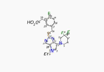 CCn1cc(N2CCCC(F)(F)C2)c2nc(SCc3ccc(F)c(CC(=O)O)c3)ncc21